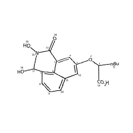 CCCCC(Oc1cc2c3c(cccc3c1)C(O)N(O)C2=O)C(=O)O